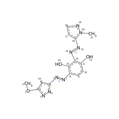 COc1nnc(/N=N/c2ccc(O)c(/N=N/c3ccnn3C)c2O)s1